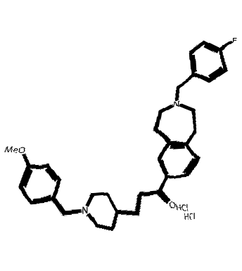 COc1ccc(CN2CCC(CCC(=O)c3ccc4c(c3)CCN(Cc3ccc(F)cc3)CC4)CC2)cc1.Cl.Cl